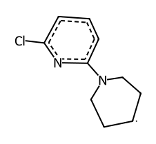 Clc1cccc(N2CC[CH]CC2)n1